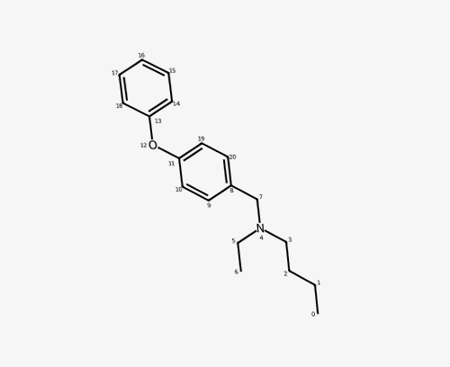 CCCCN(CC)Cc1ccc(Oc2ccccc2)cc1